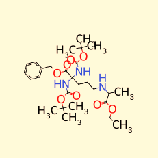 CCOC(=O)C(C)NCCCC(NC(=O)OC(C)(C)C)(NC(=O)OC(C)(C)C)C(=O)OCc1ccccc1